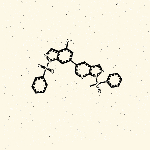 C[SH](=O)(c1ccccc1)n1ncc2cc(-c3cc(N)c4cnn(S(=O)(=O)c5ccccc5)c4c3)cnc21